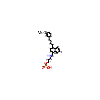 COc1cccc(CCCCc2ccc(CNCCCO[PH](=O)O)c3ccccc23)c1